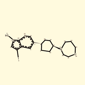 Sn1cc(I)c2cc([C@H]3CC[C@H](N4CCCOCC4)CC3)cnc21